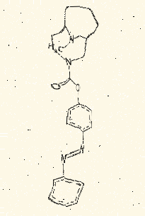 CN1C2CCCC1CN(C(=O)Oc1ccc(N=Nc3ccccc3)cc1)CC2